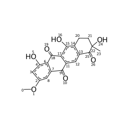 COc1cc(O)c2c(c1)C(=O)c1cc3c(c(O)c1C2=O)CCC(C)(O)C3=O